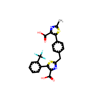 Cc1nc(C(=O)O)c(-c2ccc(Cc3nc(C(=O)O)c(-c4ccccc4C(F)(F)F)s3)cc2)s1